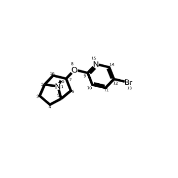 CN1C2CCC1CC(Oc1ccc(Br)cn1)C2